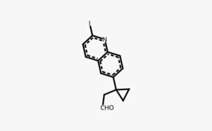 O=CCC1(c2ccc3nc(I)ccc3c2)CC1